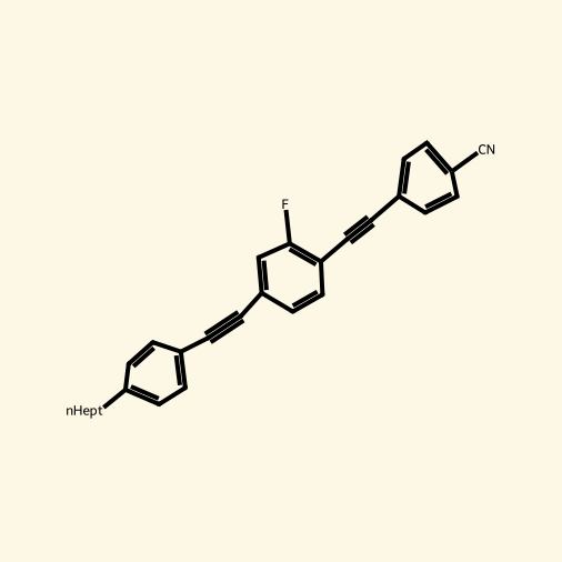 CCCCCCCc1ccc(C#Cc2ccc(C#Cc3ccc(C#N)cc3)c(F)c2)cc1